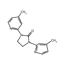 Cc1ccnc(N2CCN(c3cc(C)ccn3)C2=O)c1